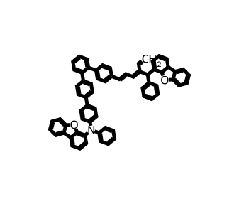 C=C/C(=C\C=C\c1ccc(-c2ccccc2-c2ccc(-c3ccc(N(c4ccccc4)c4cccc5c4oc4ccccc45)cc3)cc2)cc1)C(C1=CC=CC2c3ccccc3OC12)c1ccccc1